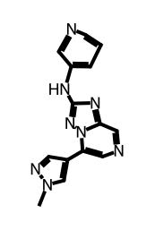 Cn1cc(-c2cncc3nc(Nc4cccnc4)nn23)cn1